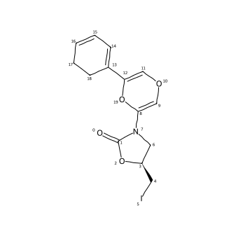 O=C1O[C@H](CI)CN1C1=COC=C(C2=CC=CCC2)O1